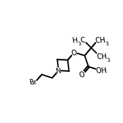 CC(C)(C)C(OC1CN(CCBr)C1)C(=O)O